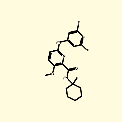 COc1ccc(Nc2cc(F)nc(F)c2)nc1C(=O)NC1(C)CCCCC1